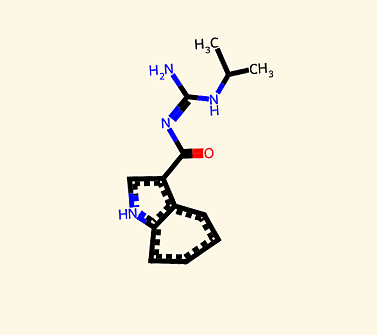 CC(C)NC(N)=NC(=O)c1c[nH]c2ccccc12